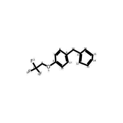 FC(F)(F)COc1ccc(Cc2ccccc2)cc1